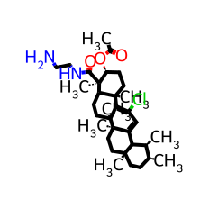 CC(=O)O[C@@H]1CC[C@]2(C)C3=C(Cl)C=C4C5[C@@H](C)[C@H](C)CC[C@]5(C)CC[C@@]4(C)[C@]3(C)CCC2[C@@]1(C)C(=O)NCCN